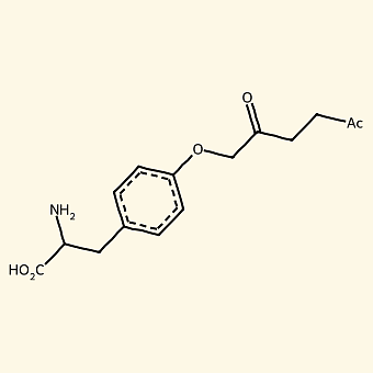 CC(=O)CCC(=O)COc1ccc(CC(N)C(=O)O)cc1